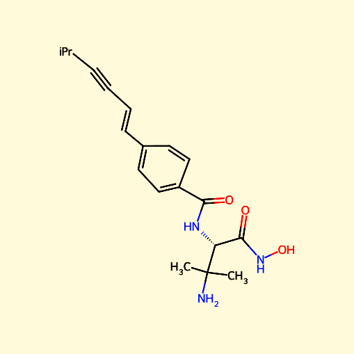 CC(C)C#C/C=C/c1ccc(C(=O)N[C@H](C(=O)NO)C(C)(C)N)cc1